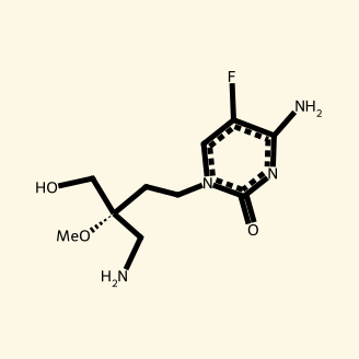 CO[C@](CN)(CO)CCn1cc(F)c(N)nc1=O